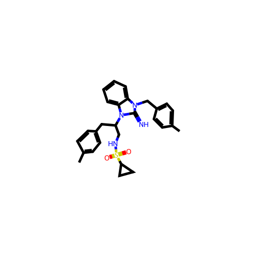 Cc1ccc(CC(CNS(=O)(=O)C2CC2)n2c(=N)n(Cc3ccc(C)cc3)c3ccccc32)cc1